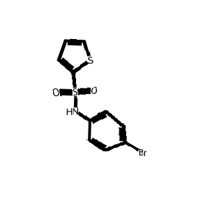 O=S(=O)(Nc1[c]cc(Br)cc1)c1cccs1